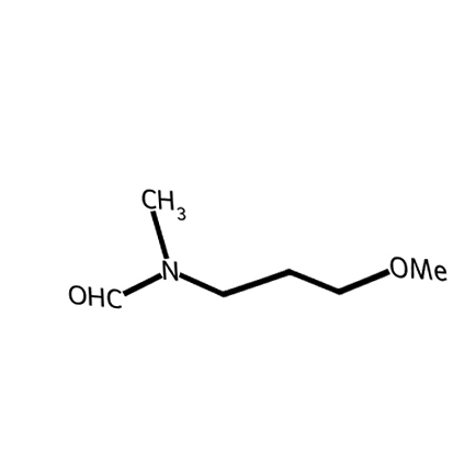 COCCCN(C)C=O